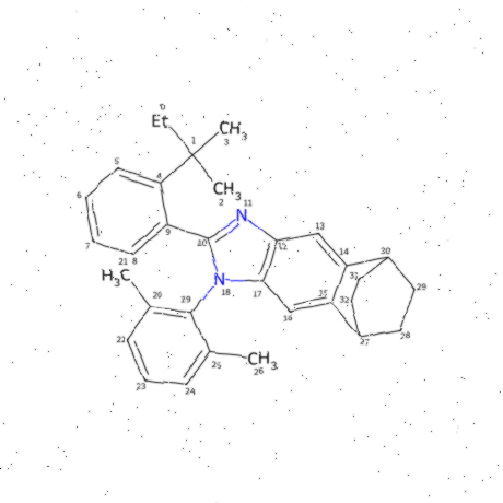 CCC(C)(C)c1ccccc1-c1nc2cc3c(cc2n1-c1c(C)cccc1C)C1CCC3CC1